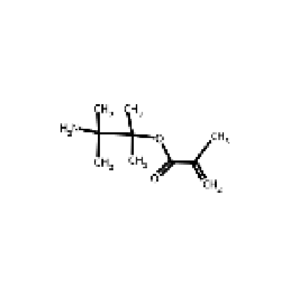 C=C(C)C(=O)OC(C)(C)C(C)(C)N